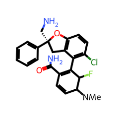 CNC1C=CC(C(N)=O)=C(c2c(Cl)ccc3c2C[C@@](CN)(c2ccccc2)O3)C1F